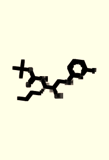 CCCC[C@H](NC(=O)OC(C)(C)C)[C@H](O)CNc1cccc(F)n1